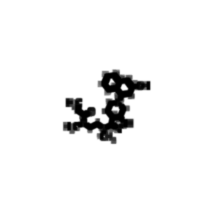 C=CC(=O)N(C)CCN(C)c1n[nH]c2c1CCN(c1cc(O)cc3ccccc13)C2